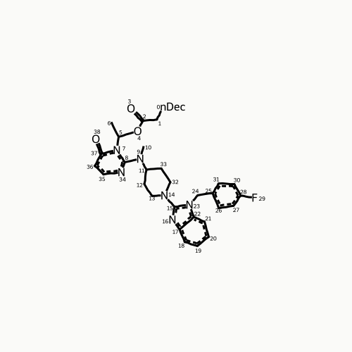 CCCCCCCCCCCC(=O)OC(C)n1c(N(C)C2CCN(c3nc4ccccc4n3Cc3ccc(F)cc3)CC2)nccc1=O